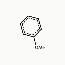 COc1[c]ccc[c]1